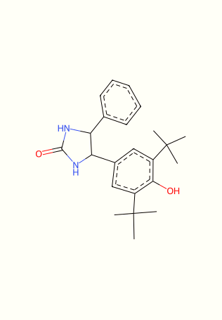 CC(C)(C)c1cc(C2NC(=O)NC2c2ccccc2)cc(C(C)(C)C)c1O